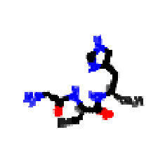 CC(C)C[C@H](NC(=O)CN)C(=O)N[C@@H](Cc1c[nH]cn1)C(=O)O